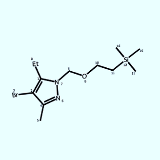 CCc1c(Br)c(C)nn1COCC[Si](C)(C)C